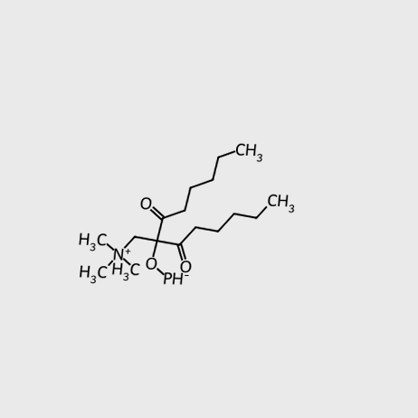 CCCCCC(=O)C(C[N+](C)(C)C)(O[PH-])C(=O)CCCCC